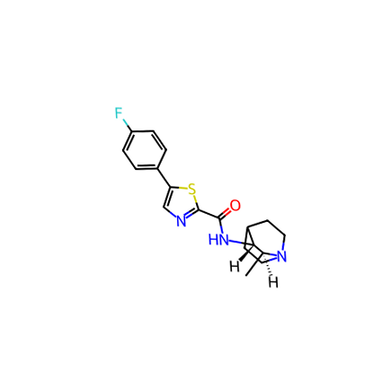 C[C@H]1[C@H](NC(=O)c2ncc(-c3ccc(F)cc3)s2)C2CCN1CC2